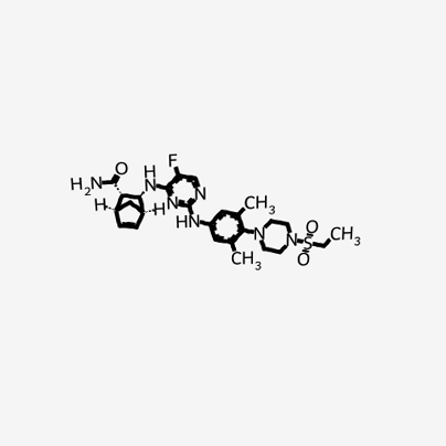 CCS(=O)(=O)N1CCN(c2c(C)cc(Nc3ncc(F)c(N[C@H]4[C@@H](C(N)=O)[C@@H]5C=C[C@H]4C5)n3)cc2C)CC1